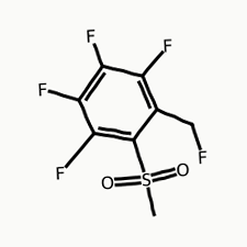 CS(=O)(=O)c1c(F)c(F)c(F)c(F)c1CF